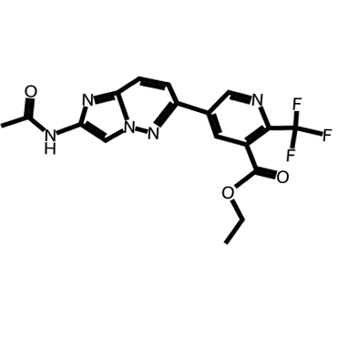 CCOC(=O)c1cc(-c2ccc3nc(NC(C)=O)cn3n2)cnc1C(F)(F)F